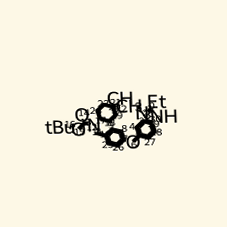 CCc1nc2cc(Oc3ccc(CN(C(=O)OC(C)(C)C)C4CCC(C)(C)CC4)cc3)ccc2[nH]1